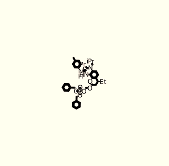 CC[C@@H](CC(=O)OCOP(=O)(OCc1ccccc1)OCc1ccccc1)c1ccc(N(CC(C)C)CC(C)C)c(NC(=O)Nc2ccc(C)cc2)c1